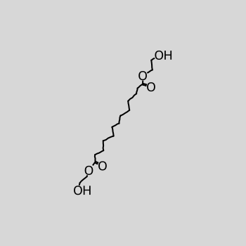 O=C(CCCCCCCCCCCC(=O)OCCO)OCCO